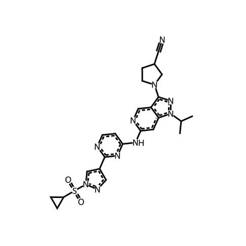 CC(C)n1nc(N2CCC(C#N)C2)c2cnc(Nc3ccnc(-c4cnn(S(=O)(=O)C5CC5)c4)n3)cc21